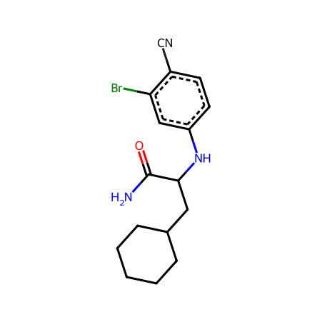 N#Cc1ccc(NC(CC2CCCCC2)C(N)=O)cc1Br